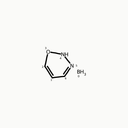 B.C1=CONN=C1